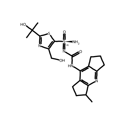 CC1CCc2c1nc1c(c2NC(=O)N=[S@@](N)(=O)c2sc(C(C)(C)O)nc2CO)CCC1